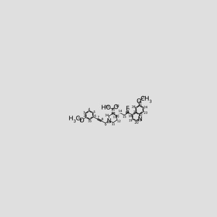 COc1cccc(C#CCN2CC[C@@H](CC[C@@H](F)c3ccnc4ccc(OC)cc34)[C@@H](C(=O)O)C2)c1